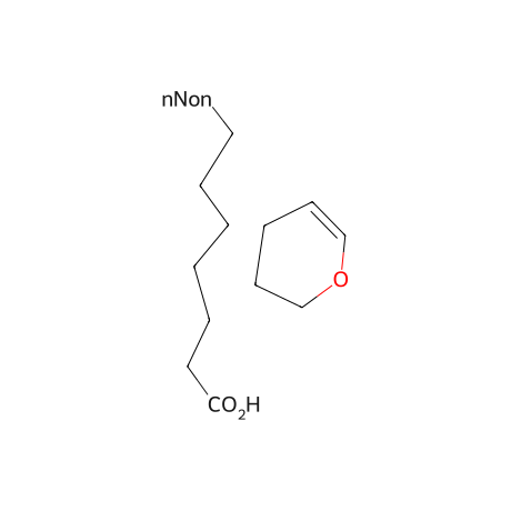 C1=COCCC1.CCCCCCCCCCCCCCCC(=O)O